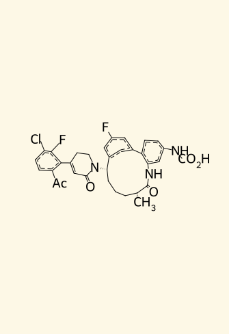 CC(=O)c1ccc(Cl)c(F)c1C1=CC(=O)N([C@H]2CCC[C@@H](C)C(=O)Nc3cc(NC(=O)O)ccc3-c3cc(F)cc2c3)CC1